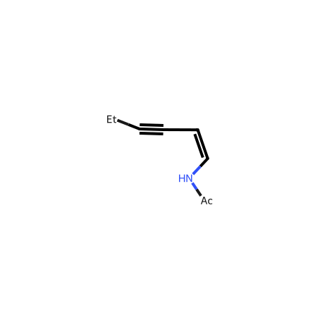 CCC#C/C=C\NC(C)=O